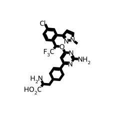 Cn1ccc(-c2cc(Cl)ccc2C(Oc2cc(C3=CCC(CC(N)C(=O)O)CC3)nc(N)n2)C(F)(F)F)n1